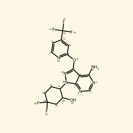 Nc1ncnc2c1c(Oc1cc(C(F)(F)F)ccn1)nn2C1CCC(F)(F)CC1O